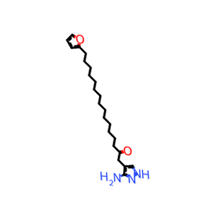 Nc1n[nH]cc1CC(=O)CCCCCCCCCCCCCCc1ccco1